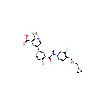 Cc1ncc(-c2ccc(F)c(C(=O)Nc3ccc(COCC4CC4)c(F)c3)c2)cc1C(=O)O